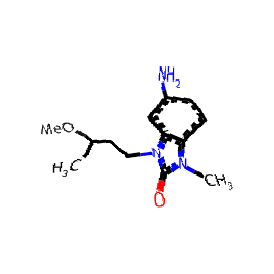 COC(C)CCn1c(=O)n(C)c2ccc(N)cc21